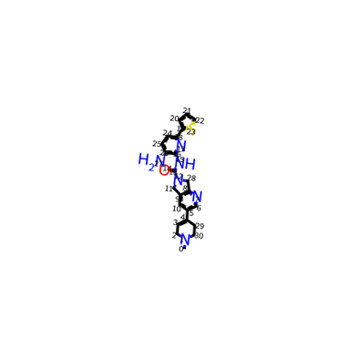 CN1CC=C(c2cnc3c(c2)CN(C(=O)Nc2nc(-c4cccs4)ccc2N)C3)CC1